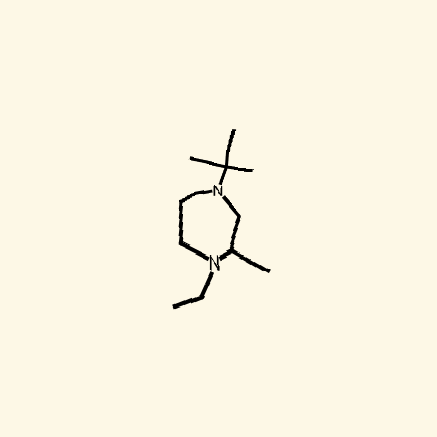 CCN1CCN(C(C)(C)C)CC1C